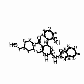 CC1=C(C(=O)N2CCC(CO)CC2)C(c2ccccc2Cl)N=C(Nc2nc3ccccc3o2)N1